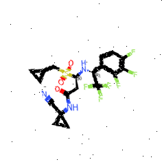 N#CC1(NC(=O)C[C@H](N[C@H](c2ccc(F)c(F)c2F)C(F)(F)F)S(=O)(=O)CC2CC2)CC1